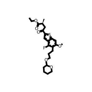 CCOC(=O)[C@@H](C)CC(=O)c1cc2c(F)c(CCCOC3CCCCO3)c(OC)cc2s1